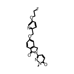 Cn1nc(N2Cc3cc(OCc4ccc(OCCF)cn4)ccc3C2=O)ccc1=O